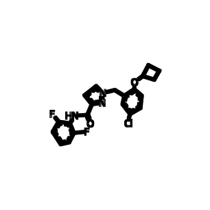 O=C(Nc1c(F)cccc1F)c1ccn(Cc2cc(Cl)ccc2OC2CCC2)n1